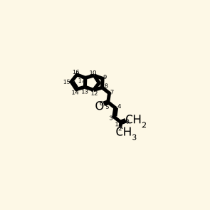 C=C(C)/C=C/C(=O)CC1CC2CC1C1C=CCC21